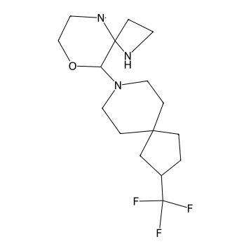 FC(F)(F)C1CCC2(CCN(C3OCC[N]C34CCN4)CC2)C1